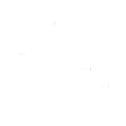 Oc1cc(O)cc(C=Cc2cccc(O)c2O)c1